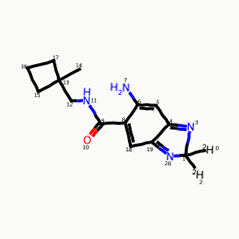 [2H]C1([2H])N=c2cc(N)c(C(=O)NCC3(C)CCC3)cc2=N1